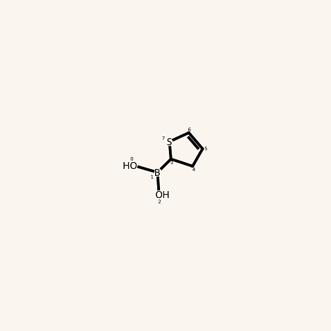 OB(O)C1CC=CS1